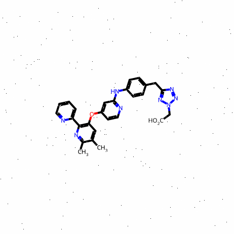 Cc1cc(Oc2ccnc(Nc3ccc(Cc4nnn(CC(=O)O)n4)cc3)c2)c(-c2ccccn2)nc1C